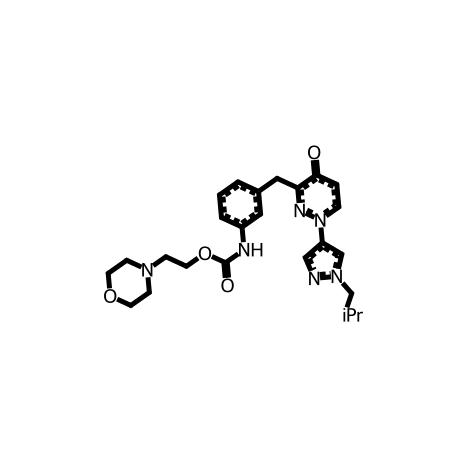 CC(C)Cn1cc(-n2ccc(=O)c(Cc3cccc(NC(=O)OCCN4CCOCC4)c3)n2)cn1